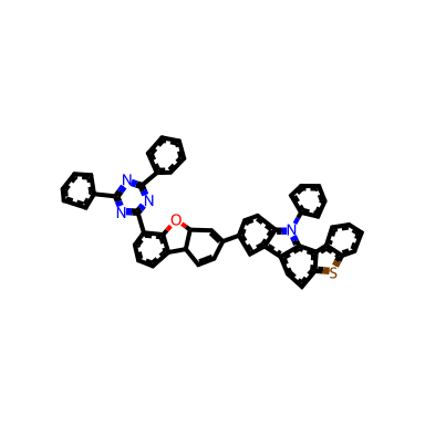 C1=CC2c3cccc(-c4nc(-c5ccccc5)nc(-c5ccccc5)n4)c3OC2C=C1c1ccc2c(c1)c1ccc3sc4ccccc4c3c1n2-c1ccccc1